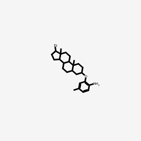 CCC1CCC2C3CCC4CC(Oc5cc(C)ccc5N)CCC4(C)C3CCC12C